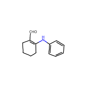 O=CC1=C(Nc2ccccc2)CCCC1